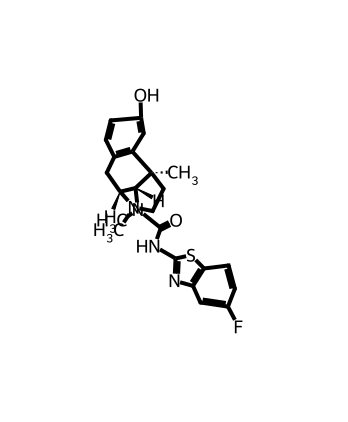 CN1CC[C@]2(C)c3cc(O)ccc3C[C@@H]1[C@H]2N(C)C(=O)Nc1nc2cc(F)ccc2s1